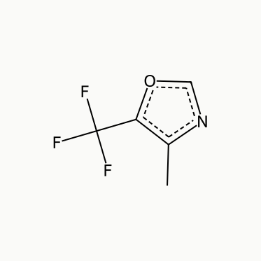 Cc1ncoc1C(F)(F)F